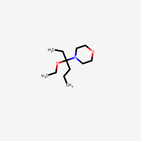 CC[CH]C(CC)(OCC)N1CCOCC1